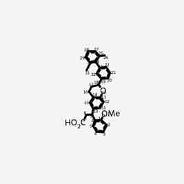 COc1ccccc1C(CC(=O)O)c1ccc2c(c1)CCC(c1cccc(-c3c(C)cccc3C)c1)O2